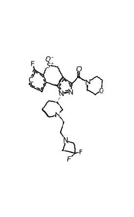 O=C(c1nn([C@H]2CCCN(CCN3CC(F)(F)C3)C2)c2c1C[S+]([O-])c1c(F)cccc1-2)N1CCOCC1